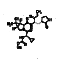 C=CC(=O)[C@H](C[C@@H]1CCNC1=O)NC(=O)[C@@H]1[C@@H]2[C@H](CN1C(=O)C(NC(=O)OC(C)(C)C)C1CC1)C2(C)C